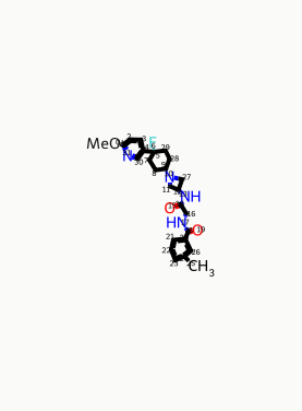 COc1ccc([C@]2(F)CC[C@H](N3CC(NC(=O)CNC(=O)c4cccc(C)c4)C3)CC2)cn1